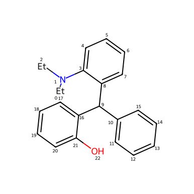 CCN(CC)c1ccccc1C(c1ccccc1)c1ccccc1O